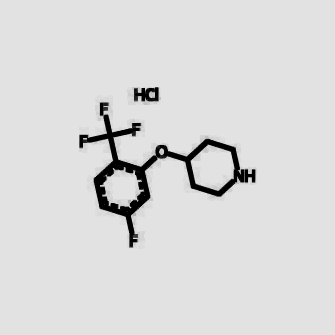 Cl.Fc1ccc(C(F)(F)F)c(OC2CCNCC2)c1